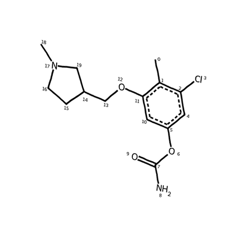 Cc1c(Cl)cc(OC(N)=O)cc1OCC1CCN(C)C1